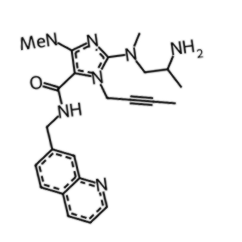 CC#CCn1c(N(C)CC(C)N)nc(NC)c1C(=O)NCc1ccc2cccnc2c1